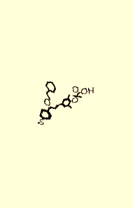 CSc1ccc(C(CCc2cc(C)c(OC(C)(C)C(=O)O)c(C)c2)OCCC2CCCCC2)cc1